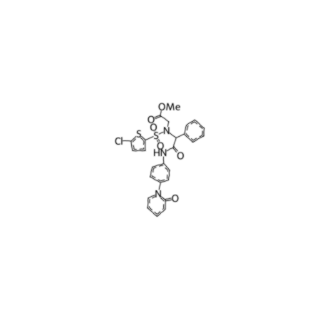 COC(=O)CN(C(C(=O)Nc1ccc(-n2ccccc2=O)cc1)c1ccccc1)S(=O)(=O)c1ccc(Cl)s1